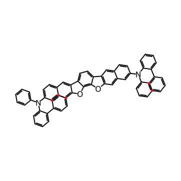 c1ccc(-c2ccccc2N(c2ccccc2)c2ccc3cc4c(cc3c2)oc2c4ccc3c4cc5ccc(N(c6ccccc6)c6ccccc6-c6ccccc6)cc5cc4oc32)cc1